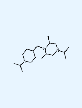 CC(C)N1CCC(CN2[C@H](C)CN(C(C)C)C[C@@H]2C)CC1